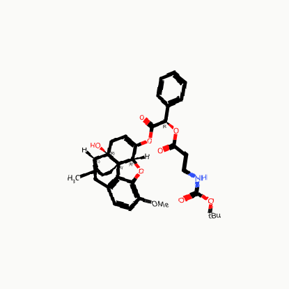 COc1ccc2c3c1O[C@H]1C(OC(=O)[C@H](OC(=O)CCNC(=O)OC(C)(C)C)c4ccccc4)=CC[C@@]4(O)[C@@H](C2)C(C)CC[C@]314